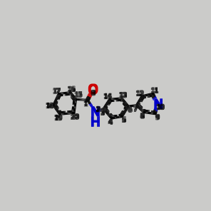 O=C(Nc1ccc(-c2ccncc2)cc1)c1ccccc1